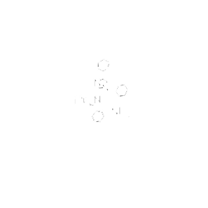 CC(C)C[C@H](c1nc(-c2ccccc2)cn1Cc1ccccc1)N(CCCN)C(=O)c1ccccc1